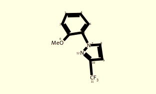 COc1ccccc1-n1ccc(C(F)(F)F)n1